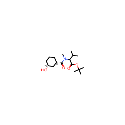 CC(C)C(C(=O)OC(C)(C)C)N(C)C(=O)[C@H]1CCC[C@@H](O)C1